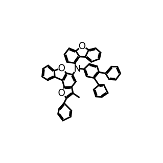 Cc1c(-c2ccccc2)oc2c1cc(N(c1ccc(-c3ccccc3)c(-c3ccccc3)c1)c1cccc3oc4ccccc4c13)c1oc3ccccc3c12